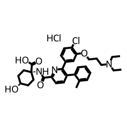 CCN(CC)CCCOc1cc(-c2nc(C(=O)N[C@]3(C(=O)O)CC[C@@H](O)CC3)ccc2-c2ccccc2C)ccc1Cl.Cl